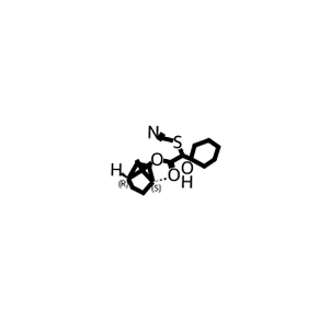 CC1(C)[C@@H]2CC[C@]1(C)C(OC(=O)C(SC#N)C1(O)CCCCC1)C2